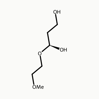 COCCO[C@H](O)CCO